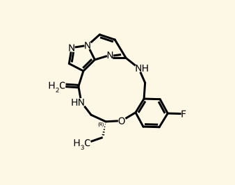 C=C1NC[C@@H](CC)Oc2ccc(F)cc2CNc2ccn3ncc1c3n2